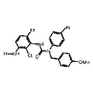 CCNc1ccc(CC)c(NC(=O)N(Cc2ccc(OC)cc2)c2ccc(C(C)C)cc2)c1CC